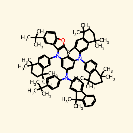 CC(C)(C)c1ccc(N(c2cc3c4c(c2)N(c2ccc5c(c2)C(C)(C)CCC5(C)C)c2c(oc5ccc(C(C)(C)C)cc25)B4c2cc4c(cc2N3c2ccc3c(c2)C(C)(C)CCC3(C)C)C(C)(C)CCC4(C)C)c2ccc3c(c2)C(C)(C)c2ccccc2-3)cc1